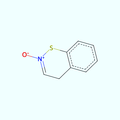 [O-][N+]1=CCc2ccccc2S1